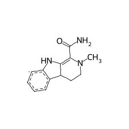 CN1CCC2C(=C1C(N)=O)Nc1[c]cccc12